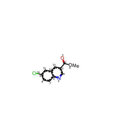 COC(=O)c1cnc2ccc(Cl)cc2c1